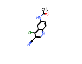 CC(=O)Nc1ccc2ncc(C#N)c(Cl)c2c1